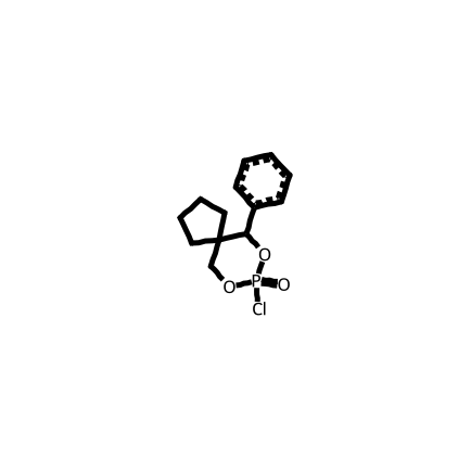 O=P1(Cl)OCC2(CCCC2)C(c2ccccc2)O1